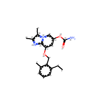 CCc1cccc(C)c1COc1cc(OC(N)=O)cn2c(C)c(C)nc12